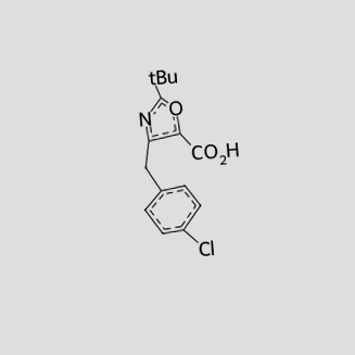 CC(C)(C)c1nc(Cc2ccc(Cl)cc2)c(C(=O)O)o1